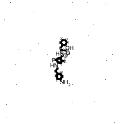 Nc1ccc(CCNc2cc(F)c(C(=O)N[C@@H](CC3CCCCC3)C(=O)O)cc2F)cc1